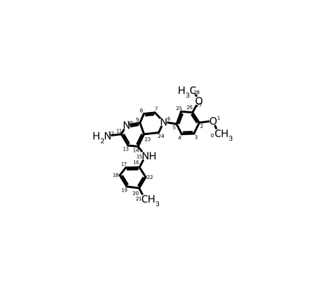 COc1ccc(N2C=Cc3nc(N)cc(Nc4cccc(C)c4)c3C2)cc1OC